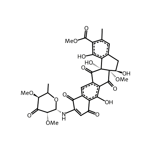 COC(=O)c1c(C)cc2c(c1O)[C@]1(O)C(=O)c3cc4c(c(O)c3C(=O)[C@]1(OC)[C@H](O)C2)C(=O)C=C(N[C@H]1OC(C)[C@H](OC)C(=O)[C@H]1OC)C4=O